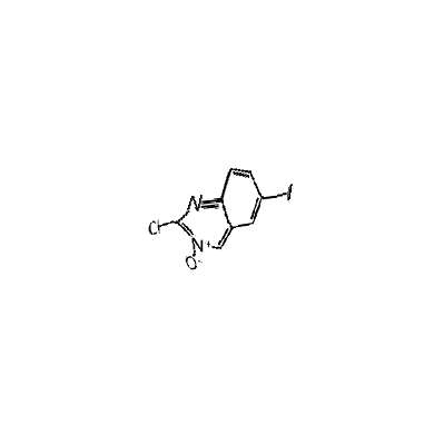 [O-][n+]1cc2cc(I)ccc2nc1Cl